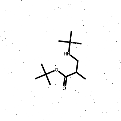 CC(CNC(C)(C)C)C(=O)OC(C)(C)C